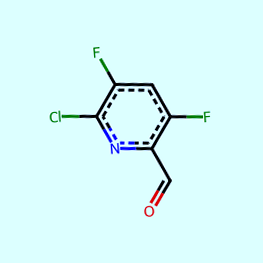 O=Cc1nc(Cl)c(F)cc1F